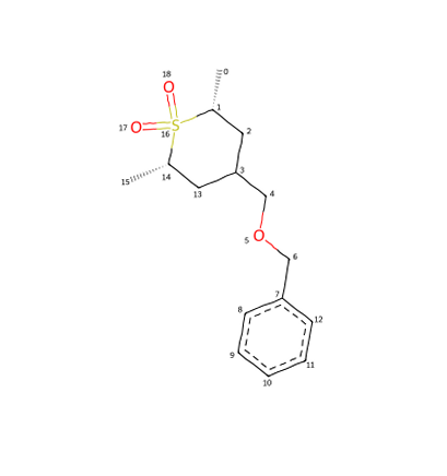 C[C@@H]1CC(COCc2ccccc2)C[C@H](C)S1(=O)=O